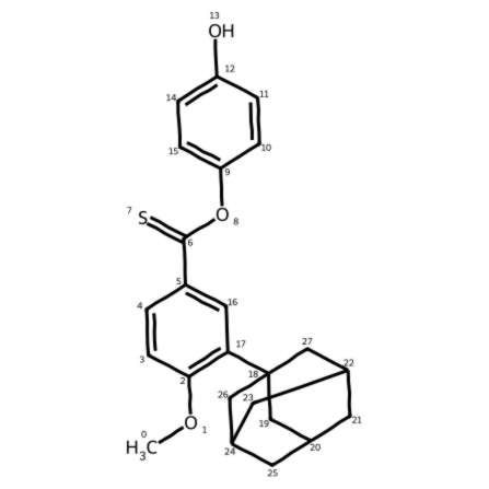 COc1ccc(C(=S)Oc2ccc(O)cc2)cc1C12CC3CC(CC(C3)C1)C2